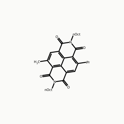 CCCCCCCCN1C(=O)c2cc(C(C)C)c3c4c(cc(C)c(c24)C1=O)C(=O)N(CCCCCCCC)C3=O